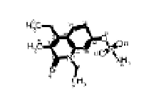 CCc1c(C)c(=O)n(CC)c2cc(OS(N)(=O)=O)ccc12